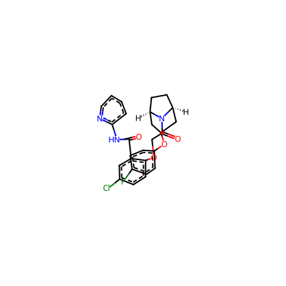 O=C(Nc1ccccn1)c1cc(Cl)ccc1OCC(=O)N1[C@@H]2CC[C@H]1CC(Oc1ccc(F)cc1)C2